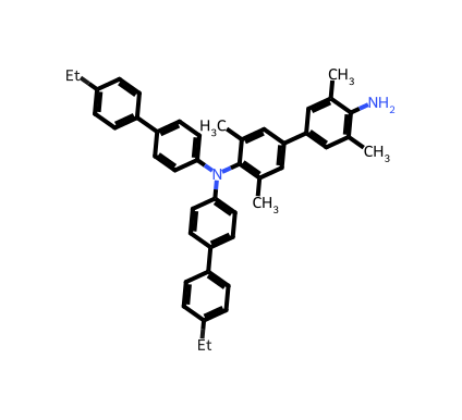 CCc1ccc(-c2ccc(N(c3ccc(-c4ccc(CC)cc4)cc3)c3c(C)cc(-c4cc(C)c(N)c(C)c4)cc3C)cc2)cc1